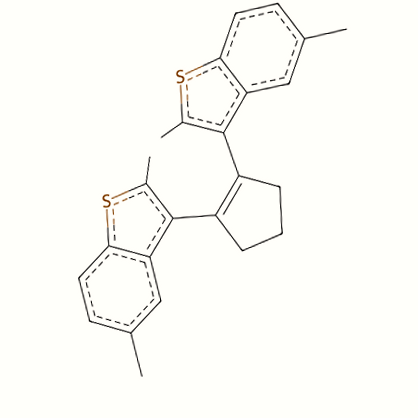 Cc1ccc2sc(C)c(C3=C(c4c(C)sc5ccc(C)cc45)CCC3)c2c1